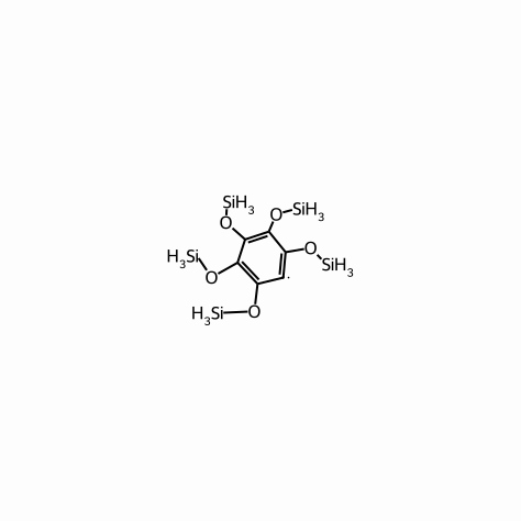 [SiH3]Oc1[c]c(O[SiH3])c(O[SiH3])c(O[SiH3])c1O[SiH3]